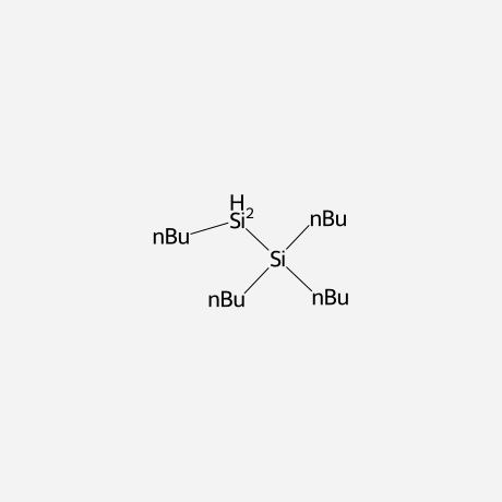 CCCC[SiH2][Si](CCCC)(CCCC)CCCC